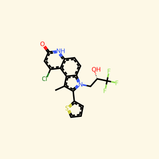 Cc1c(-c2cccs2)n(C[C@H](O)C(F)(F)F)c2ccc3[nH]c(=O)cc(Cl)c3c12